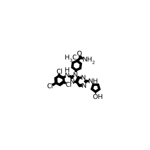 CC1(C(N)=O)CCC(n2c(Nc3c(Cl)cc(Cl)cc3Cl)nc3cnc(N[C@H]4CC[C@H](O)C4)nc32)CC1